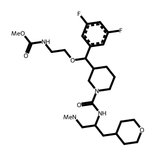 CNCC(CC1CCOCC1)NC(=O)N1CCCC(C(OCCNC(=O)OC)c2cc(F)cc(F)c2)C1